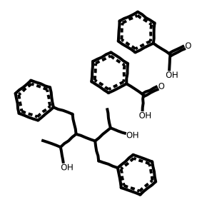 CC(O)C(Cc1ccccc1)C(Cc1ccccc1)C(C)O.O=C(O)c1ccccc1.O=C(O)c1ccccc1